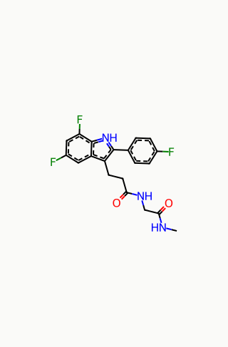 CNC(=O)CNC(=O)CCc1c(-c2ccc(F)cc2)[nH]c2c(F)cc(F)cc12